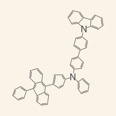 c1ccc(-c2c3ccccc3c(-c3ccc(N(c4ccccc4)c4ccc(-c5ccc(-n6c7ccccc7c7ccccc76)cc5)cc4)cc3)c3ccccc23)cc1